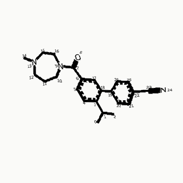 CC(C)c1ccc(C(=O)N2CCCN(C)CC2)cc1-c1ccc(C#N)cc1